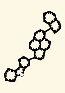 c1ccc2c(-c3ccc4ccc5c(-c6ccc7c(c6)oc6ccccc67)ccc6ccc3c4c65)cccc2c1